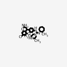 CC1CN(/C(=N/[C@@H]2CCCCC[C@H]2C)Nc2ccc(C(CC(N)=O)c3ccc(Cl)cc3Cl)cc2)CC(C)N1